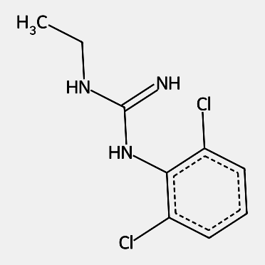 CCNC(=N)Nc1c(Cl)cccc1Cl